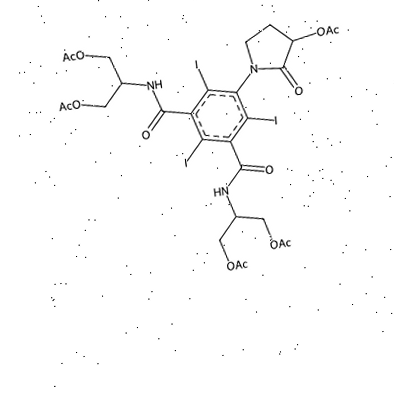 CC(=O)OCC(COC(C)=O)NC(=O)c1c(I)c(C(=O)NC(COC(C)=O)COC(C)=O)c(I)c(N2CCC(OC(C)=O)C2=O)c1I